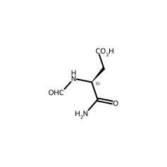 NC(=O)[C@H](CC(=O)O)NC=O